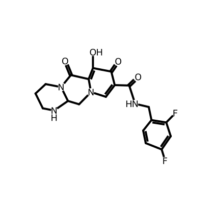 O=C(NCc1ccc(F)cc1F)c1cn2c(c(O)c1=O)C(=O)N1CCCNC1C2